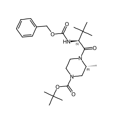 C[C@@H]1CN(C(=O)OC(C)(C)C)CCN1C(=O)[C@@H](NC(=O)OCc1ccccc1)C(C)(C)C